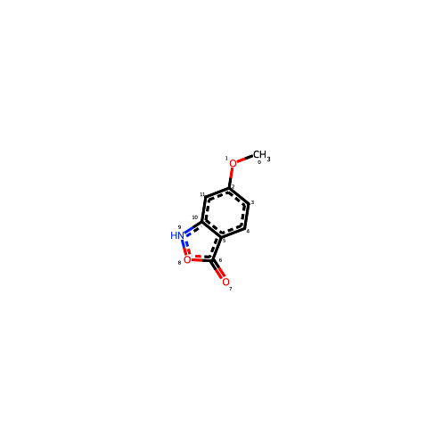 COc1ccc2c(=O)o[nH]c2c1